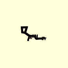 CC(C)CN[C@@H](C)C1CCC1